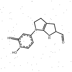 N=c1cc(N2CCC3=C2NC(C=O)C3)ccn1O